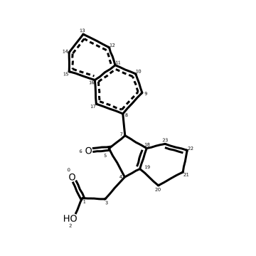 O=C(O)CC1C(=O)C(c2ccc3ccccc3c2)C2=C1CCC=C2